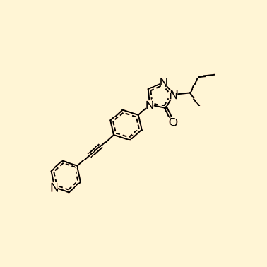 CCC(C)n1ncn(-c2ccc(C#Cc3ccncc3)cc2)c1=O